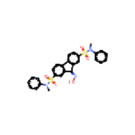 CN(c1ccccc1)S(=O)(=O)c1ccc2c(c1)C(=NO)c1cc(S(=O)(=O)N(C)c3ccccc3)ccc1-2